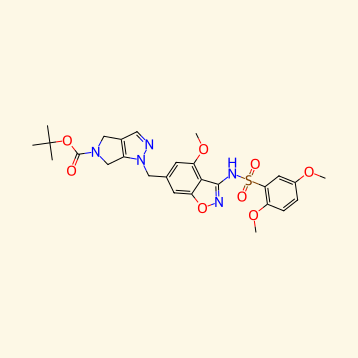 COc1ccc(OC)c(S(=O)(=O)Nc2noc3cc(Cn4ncc5c4CN(C(=O)OC(C)(C)C)C5)cc(OC)c23)c1